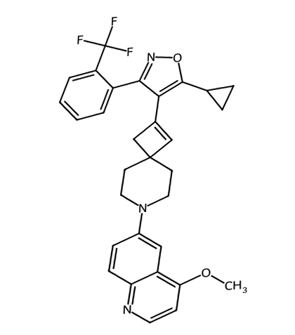 COc1ccnc2ccc(N3CCC4(C=C(c5c(-c6ccccc6C(F)(F)F)noc5C5CC5)C4)CC3)cc12